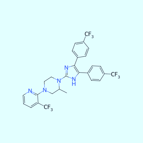 CC1CN(c2ncccc2C(F)(F)F)CCN1c1nc(-c2ccc(C(F)(F)F)cc2)c(-c2ccc(C(F)(F)F)cc2)[nH]1